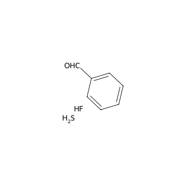 F.O=Cc1ccccc1.S